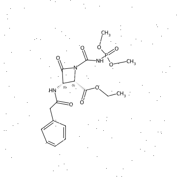 CCOC(=O)[C@@H]1[C@H](NC(=O)Cc2ccccc2)C(=O)N1C(=O)NP(=O)(OC)OC